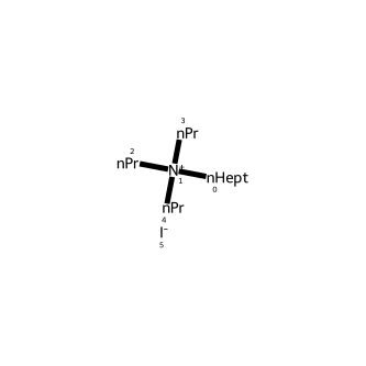 CCCCCCC[N+](CCC)(CCC)CCC.[I-]